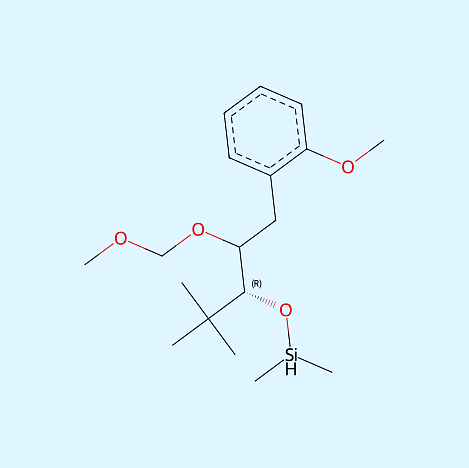 COCOC(Cc1ccccc1OC)[C@H](O[SiH](C)C)C(C)(C)C